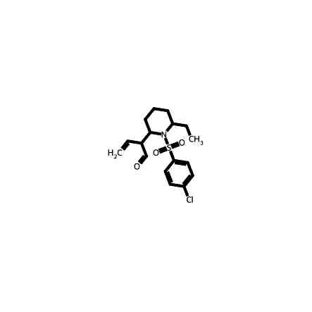 C=CC(C=O)C1CCCC(CC)N1S(=O)(=O)c1ccc(Cl)cc1